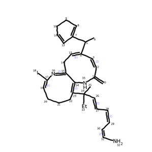 C=C1/C=C\C(C(C)C2=CCCC=C2)=C/CC2=N/C(I)=C\CCC/C(C(C)(/C=C/C=C\C=C/N)CC)=C\2N1